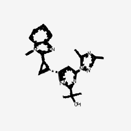 Cc1nc(C)n(-c2cc([C@@H]3CC3c3nc4ccccc4n3C)nc(C(C)(C)O)n2)n1